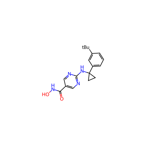 CC(C)(C)c1cccc(C2(Nc3ncc(C(=O)NO)cn3)CC2)c1